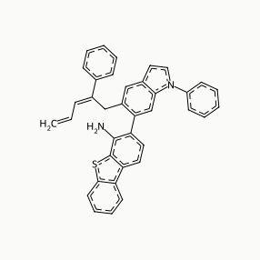 C=C/C=C(\Cc1cc2ccn(-c3ccccc3)c2cc1-c1ccc2c(sc3ccccc32)c1N)c1ccccc1